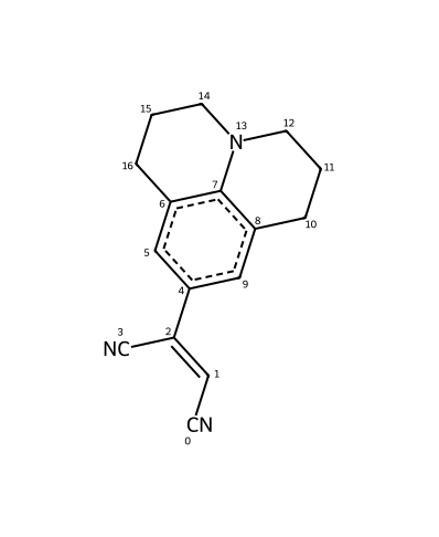 N#CC=C(C#N)c1cc2c3c(c1)CCCN3CCC2